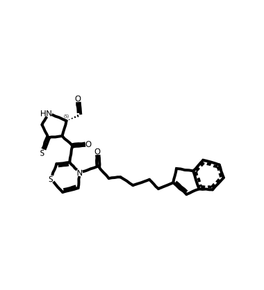 O=C[C@H]1NCC(=S)C1C(=O)C1=CSC=CN1C(=O)CCCCCC1=Cc2ccccc2C1